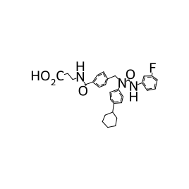 O=C(O)CCNC(=O)c1ccc(CN(C(=O)Nc2cccc(F)c2)c2ccc(C3CCCCC3)cc2)cc1